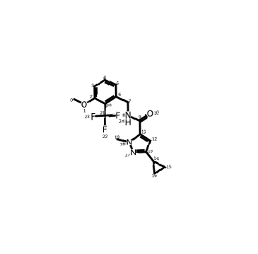 COc1cccc(CNC(=O)c2cc(C3CC3)nn2C)c1C(F)(F)F